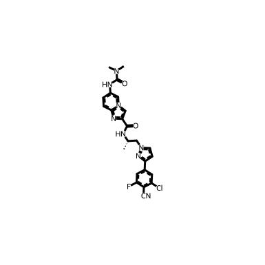 C[C@@H](Cn1ccc(-c2cc(F)c(C#N)c(Cl)c2)n1)NC(=O)c1cn2cc(NC(=O)N(C)C)ccc2n1